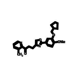 COc1ccc(-c2nc(CCC(=O)c3ncccc3C)co2)cc1OCC1CCCC1